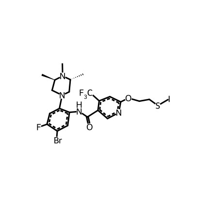 C[C@@H]1CN(c2cc(F)c(Br)cc2NC(=O)c2cnc(OCCSI)cc2C(F)(F)F)C[C@@H](C)N1C